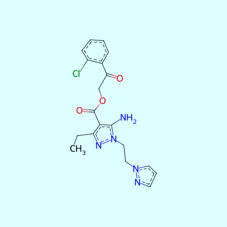 CCc1nn(CCn2cccn2)c(N)c1C(=O)OCC(=O)c1ccccc1Cl